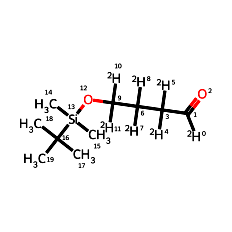 [2H]C(=O)C([2H])([2H])C([2H])([2H])C([2H])([2H])O[Si](C)(C)C(C)(C)C